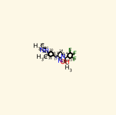 CCC(c1cc(F)c(F)c(F)c1)N1CCCC(=C\c2ccc(-n3cnc(C)c3)c(C)c2)/C1=N/O